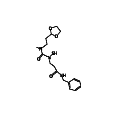 CN(CCC1OCCO1)C(=O)N(S)CCC(=O)NCc1ccccc1